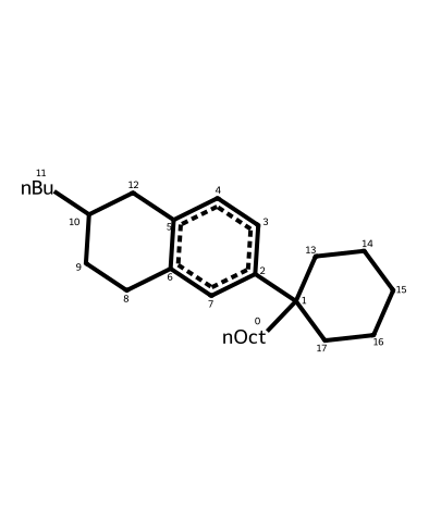 CCCCCCCCC1(c2ccc3c(c2)CCC(CCCC)C3)CCCCC1